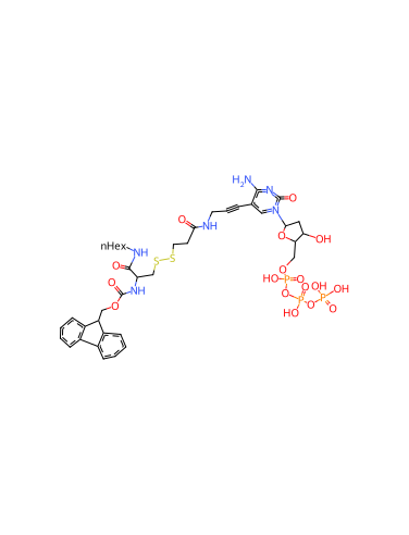 CCCCCCNC(=O)C(CSSCCC(=O)NCC#Cc1cn(C2CC(O)C(COP(=O)(O)OP(=O)(O)OP(=O)(O)O)O2)c(=O)nc1N)NC(=O)OCC1c2ccccc2-c2ccccc21